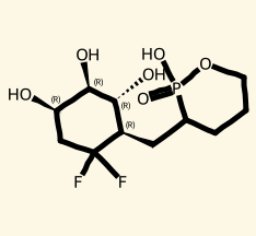 O=P1(O)OCCCC1C[C@@H]1[C@@H](O)[C@H](O)[C@H](O)CC1(F)F